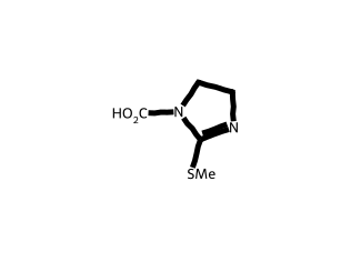 CSC1=NCCN1C(=O)O